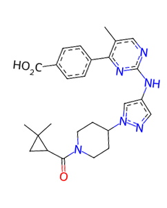 Cc1cnc(Nc2cnn(C3CCN(C(=O)C4CC4(C)C)CC3)c2)nc1-c1ccc(C(=O)O)cc1